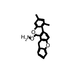 Cc1cc(C)c(-c2ccc3c(c2C(=O)ON)Cc2ccccc2O3)c(C)c1